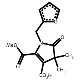 COC(=O)C1=C(C(=O)O)C(C)(C)C(=O)N1Cc1ccco1